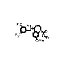 COc1ccc2c(c1)N(C(=O)OC(C)C)CCCC2N(Cc1cc(C(F)(F)F)cc(C(F)(F)F)c1)C(C)=O